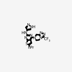 CCCc1cc2c(N3CCn4c(nnc4C(F)(F)F)C3)nc(Nc3cn[nH]c3)nc2s1